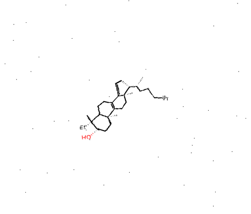 CC[C@]1(C)C2CCC3=C(CC[C@@]4(C)C3=CC[C@@H]4[C@H](C)CCCC(C)C)[C@@]2(C)CC[C@@H]1O